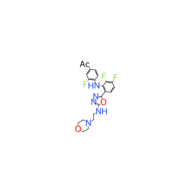 CC(=O)c1ccc(Nc2c(-c3nnc(NCCN4CCOCC4)o3)ccc(F)c2F)c(F)c1